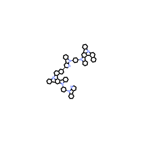 c1cc(-n2c3ccccc3c3c4c5c6ccc(-c7cnc8c(c7)c7ccccc7n8-c7ccc(-n8c9ccccc9c9c%10c%11c%12ccccc%12ccc%11n%11c%12ccccc%12c(cc98)c%10%11)cc7)cc6ccc5n5c6ccccc6c(cc32)c45)cc(-n2c3ccccc3c3cccnc32)c1